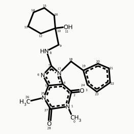 Cn1c(=O)c2c(nc(NCC3(O)CCCCC3)n2Cc2ccccc2)n(C)c1=O